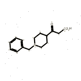 O=C(O)CC(=O)C1CCN(Cc2ccccc2)CC1